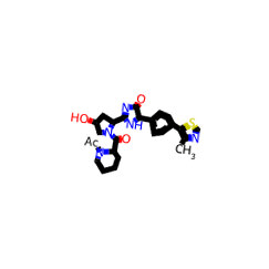 CC(=O)N1CCCCC1C(=O)N1CC(O)CC1C1=NC(=O)C(c2ccc(-c3scnc3C)cc2)N1